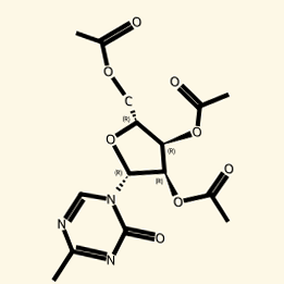 CC(=O)OC[C@H]1O[C@@H](n2cnc(C)nc2=O)[C@H](OC(C)=O)[C@@H]1OC(C)=O